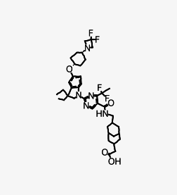 CCC1(CC)CN(c2ncc(C(=O)NCC3CC4CC(CC(=O)O)CC(C3)C4)c(C(C)(F)F)n2)c2ccc(O[C@H]3CC[C@H](N4CC(F)(F)C4)CC3)cc21